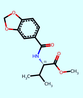 COC(=O)[C@@H](NC(=O)c1ccc2c(c1)OCO2)C(C)C